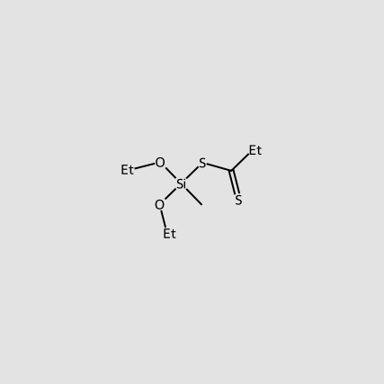 CCO[Si](C)(OCC)SC(=S)CC